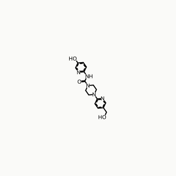 O=C(Nc1ccc(O)cn1)N1CCN(c2ccc(CO)cn2)CC1